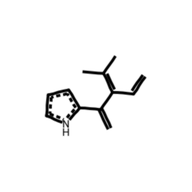 C=CC(C(=C)c1ccc[nH]1)=C(C)C